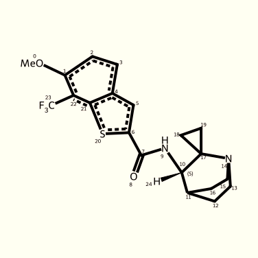 COc1ccc2cc(C(=O)N[C@H]3C4CCN(CC4)C34CC4)sc2c1C(F)(F)F